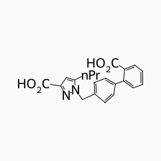 CCCc1cc(C(=O)O)nn1Cc1ccc(-c2ccccc2C(=O)O)cc1